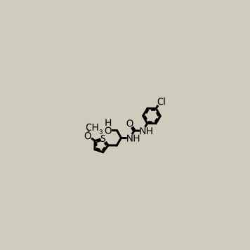 COc1ccc(CC(CO)NC(=O)Nc2ccc(Cl)cc2)s1